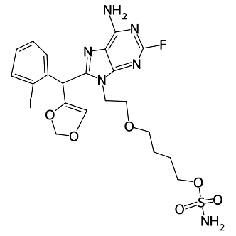 Nc1nc(F)nc2c1nc(C(C1=COCO1)c1ccccc1I)n2CCOCCCCOS(N)(=O)=O